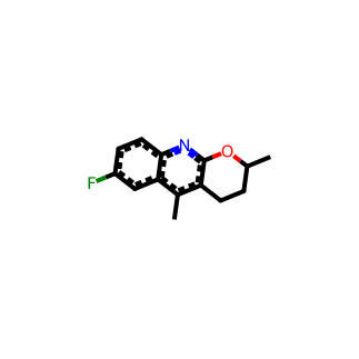 Cc1c2c(nc3ccc(F)cc13)OC(C)CC2